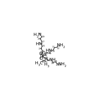 CC(C)[O][Ti](=[O])([CH2]CCNCCCN)([CH2]CCNCCCN)[O]CCCNCCCN